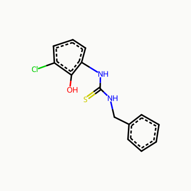 Oc1c(Cl)cccc1NC(=S)NCc1ccccc1